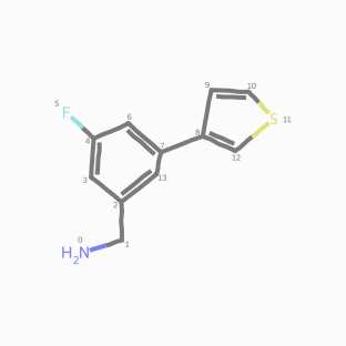 NCc1cc(F)cc(-c2ccsc2)c1